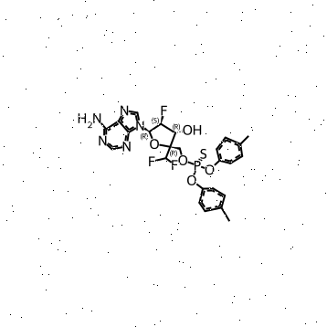 Cc1ccc(OP(=S)(OC[C@@]2(C(F)F)O[C@@H](n3cnc4c(N)ncnc43)[C@@H](F)[C@@H]2O)Oc2ccc(C)cc2)cc1